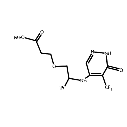 COC(=O)CCOCC(Nc1cn[nH]c(=O)c1C(F)(F)F)C(C)C